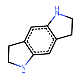 c1c2c(cc3c1NCC3)NCC2